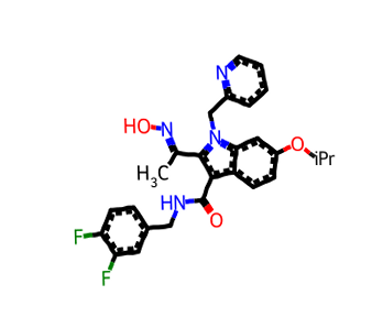 C/C(=N\O)c1c(C(=O)NCc2ccc(F)c(F)c2)c2ccc(OC(C)C)cc2n1Cc1ccccn1